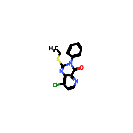 CCSc1nc2c(Cl)ccnc2c(=O)n1-c1ccccc1